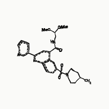 COC(CNC(=O)c1cc(-c2cccnc2)nc2ccc(S(=O)(=O)N3CCC(C)CC3)cc12)OC